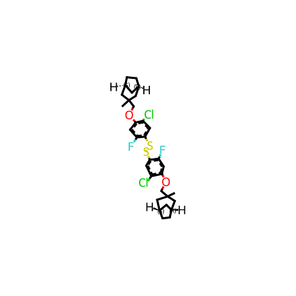 CC1(COc2cc(F)c(SSc3cc(Cl)c(OCC4(C)C[C@@H]5CC[C@@H](C5)C4)cc3F)cc2Cl)C[C@@H]2CC[C@@H](C2)C1